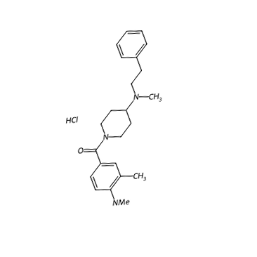 CNc1ccc(C(=O)N2CCC(N(C)CCc3ccccc3)CC2)cc1C.Cl